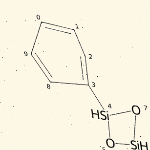 c1ccc([SiH]2O[SiH2]O2)cc1